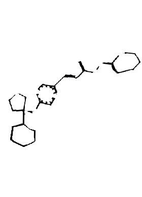 O=C(/C=C/c1cnc(N[C@@]2(C3CCCCC3)CCNC2)cn1)NOC1CCCCO1